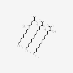 CCCCCCCCCCCCC(S)C(=O)[O-].CCCCCCCCCCCCC(S)C(=O)[O-].CCCCCCCCCCCCC(S)C(=O)[O-].[Sb+3]